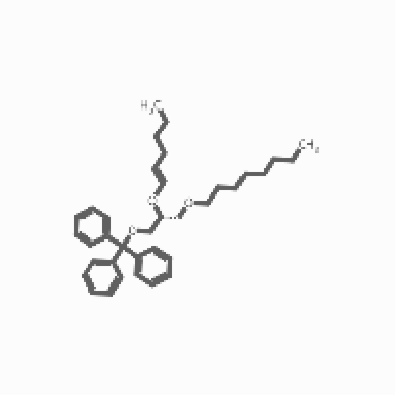 CCCCC=CO[C@H](COCCCCCCCC)COC(c1ccccc1)(c1ccccc1)c1ccccc1